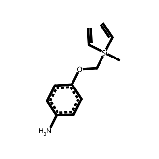 C=C[Si](C)(C=C)COc1ccc(N)cc1